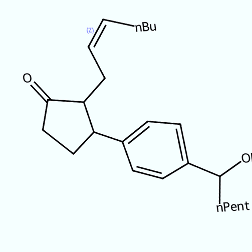 CCCC/C=C\CC1C(=O)CCC1c1ccc(C(O)CCCCC)cc1